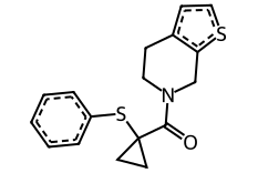 O=C(N1CCc2ccsc2C1)C1(Sc2ccccc2)CC1